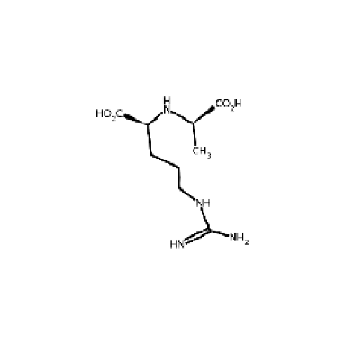 C[C@@H](N[C@@H](CCCNC(=N)N)C(=O)O)C(=O)O